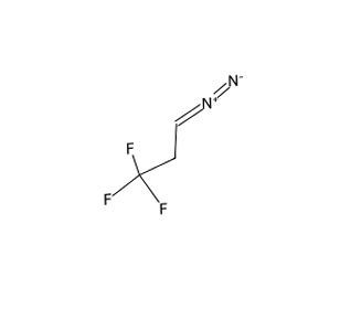 [N-]=[N+]=CCC(F)(F)F